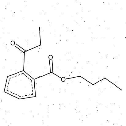 CCCCOC(=O)c1ccccc1C(=O)CC